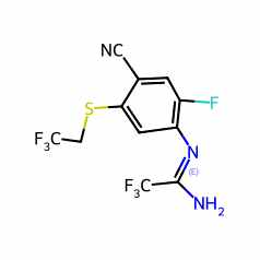 N#Cc1cc(F)c(/N=C(/N)C(F)(F)F)cc1SCC(F)(F)F